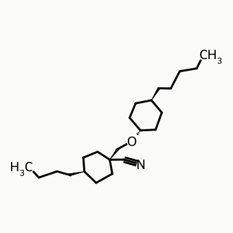 CCCCC[C@H]1CC[C@H](OC[C@]2(C#N)CC[C@H](CCCC)CC2)CC1